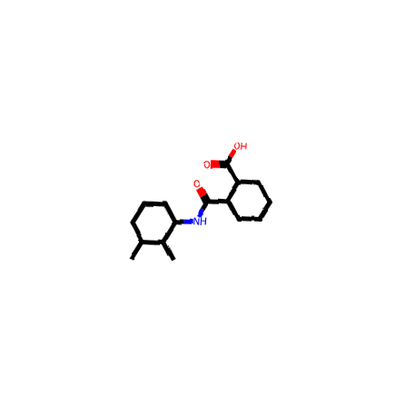 CC1CCCC(NC(=O)C2CCCCC2C(=O)O)C1C